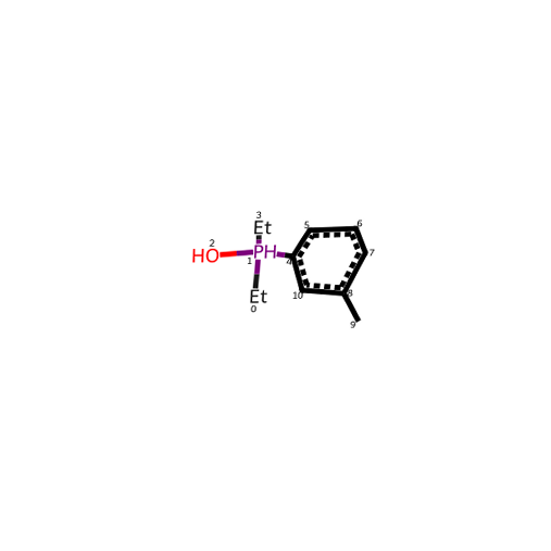 CC[PH](O)(CC)c1cccc(C)c1